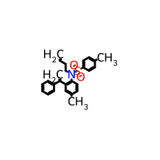 C=CCCN(c1ccc(C)cc1C(=C)c1ccccc1)S(=O)(=O)c1ccc(C)cc1